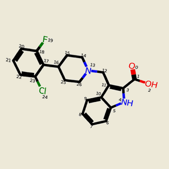 O=C(O)c1[nH]c2ccccc2c1CN1CCC(c2c(F)cccc2Cl)CC1